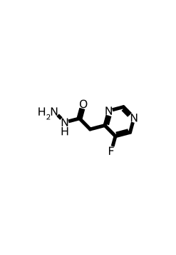 NNC(=O)Cc1ncncc1F